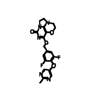 Cc1ncc(Oc2c(F)cc(COc3nc(=O)n4c5c3OCCN5CC4)cc2F)cn1